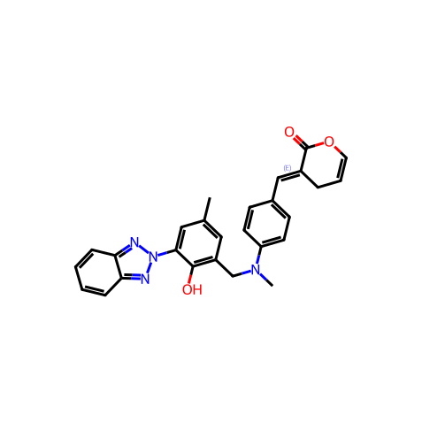 Cc1cc(CN(C)c2ccc(/C=C3\CC=COC3=O)cc2)c(O)c(-n2nc3ccccc3n2)c1